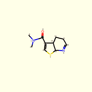 CN(C)C(=O)C1=[C]SC2N=CCCC12